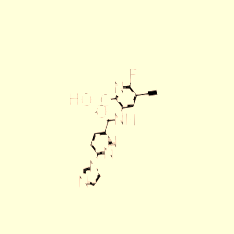 C#Cc1cc(NC(=O)c2ccc(-n3ccnc3)nn2)c(C(=O)O)nc1F